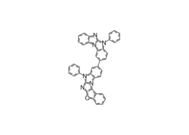 c1ccc(-n2c3ccc(-c4ccc5c(c4)n(-c4ccccc4)c4nc6oc7ccccc7c6n54)cc3n3c4ccccc4nc23)cc1